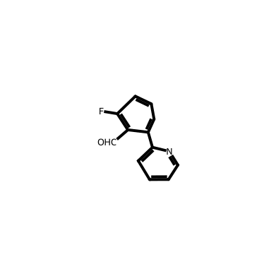 O=Cc1c(F)cccc1-c1ccccn1